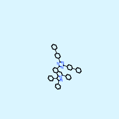 c1ccc(-c2ccc(-c3nc(-c4ccc(-c5ccccc5)cc4)nc(-c4cccc5c4cc(-c4ccccc4)n4nc(-c6ccccc6)c(-c6ccccc6)c54)n3)cc2)cc1